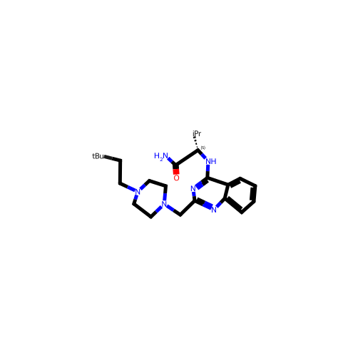 CC(C)[C@H](Nc1nc(CN2CCN(CCC(C)(C)C)CC2)nc2ccccc12)C(N)=O